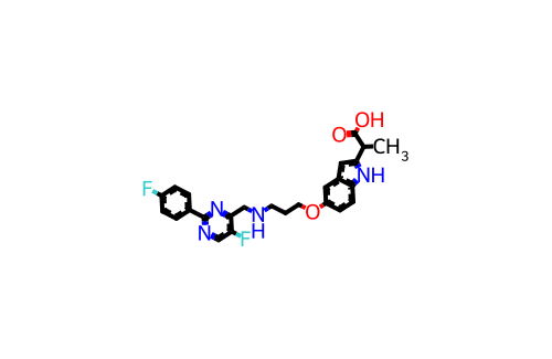 CC(C(=O)O)c1cc2cc(OCCCNCc3nc(-c4ccc(F)cc4)ncc3F)ccc2[nH]1